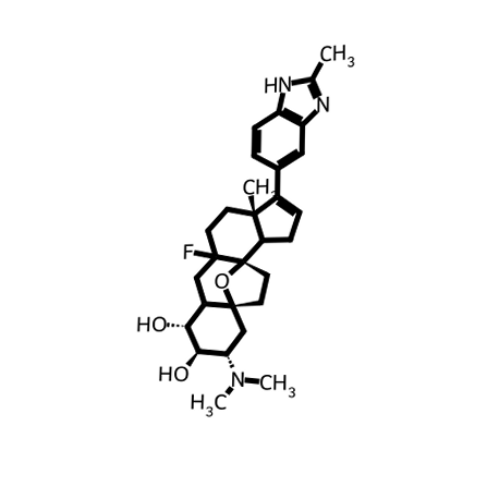 Cc1nc2cc(C3=CCC4[C@@]56CC[C@]7(C[C@H](N(C)C)[C@@H](O)[C@H](O)C7CC5(F)CC[C@]34C)O6)ccc2[nH]1